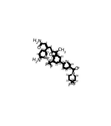 Cc1c(CC(=CC(N)=O)c2ccc(N)nc2)oc2c(C(F)(F)F)cc(-c3ccc(C(=O)N4CCC(F)(F)CC4)cn3)cc12